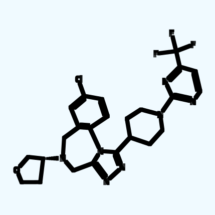 FC(F)(F)c1ccnc(N2CCC(c3nnc4n3-c3ccc(Cl)cc3CN([C@@H]3CCOC3)C4)CC2)n1